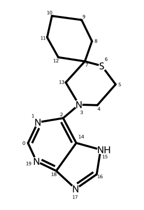 c1nc(N2CCSC3(CCCCC3)C2)c2[nH]cnc2n1